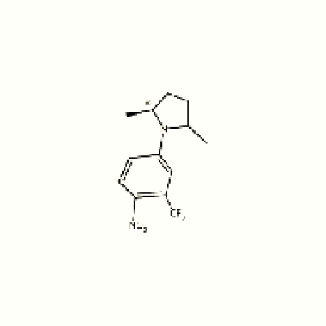 CC1CC[C@H](C)N1c1ccc([N+](=O)[O-])c(C(F)(F)F)c1